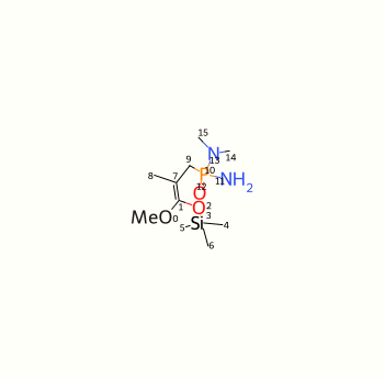 CO/C(O[Si](C)(C)C)=C(\C)CP(N)(=O)N(C)C